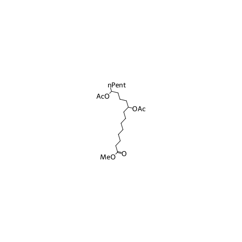 CCCCCC(CCCC(CCCCCCCC(=O)OC)OC(C)=O)OC(C)=O